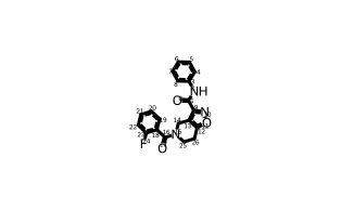 O=C(Nc1ccccc1)c1noc2c1CN(C(=O)c1ccccc1F)CC2